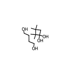 CC1(C)CC(O)(O)C1(C)C.OCCCCO